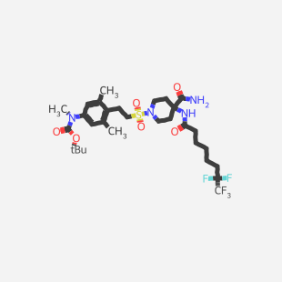 Cc1cc(N(C)C(=O)OC(C)(C)C)cc(C)c1CCS(=O)(=O)N1CCC(NC(=O)CCCCCC(F)(F)C(F)(F)F)(C(N)=O)CC1